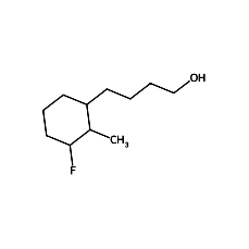 CC1C(F)CCCC1CCCCO